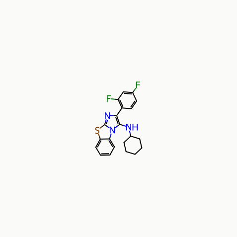 Fc1ccc(-c2nc3sc4ccccc4n3c2NC2CCCCC2)c(F)c1